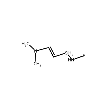 CCN[SiH2]C=CN(C)C